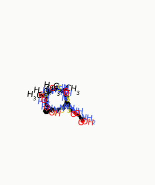 CNC(=O)C[C@@H]1NC(=O)c2csc(n2)-c2ccc(-c3nc(NC(=O)OCCC[C@H](N)C(=O)O)cs3)nc2-c2csc(n2)-c2csc(n2)[C@H]([C@@H](O)c2ccccc2)NC(=O)CNC(=O)c2nc(sc2COC)[C@H](C(C)C)NC(=O)c2nc1sc2C